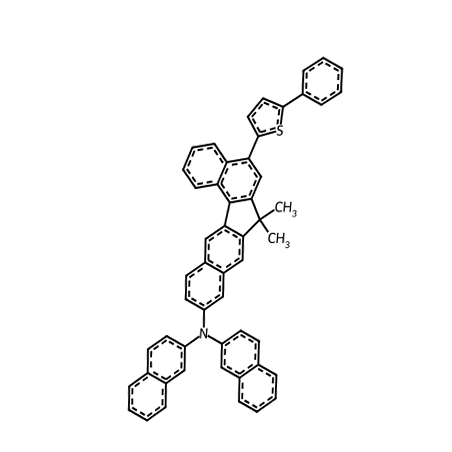 CC1(C)c2cc3cc(N(c4ccc5ccccc5c4)c4ccc5ccccc5c4)ccc3cc2-c2c1cc(-c1ccc(-c3ccccc3)s1)c1ccccc21